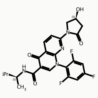 CC(C)[C@H](C)NC(=O)c1cn(-c2c(F)cc(F)cc2F)c2nc(N3C[C@@H](O)CC3=O)ccc2c1=O